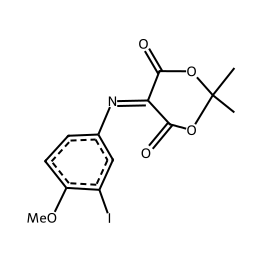 COc1ccc(N=C2C(=O)OC(C)(C)OC2=O)cc1I